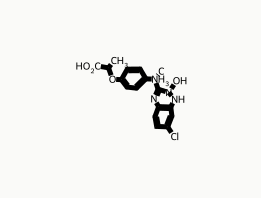 CC(Oc1ccc(N(C)C2=Nc3ccc(Cl)cc3NN2O)cc1)C(=O)O